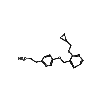 O=C(O)CCc1ccc(OCc2cccnc2SCC2CC2)cc1